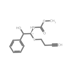 C#CCCS[C@H](NC(=O)OC)C(O)c1ccccc1